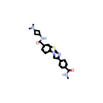 CNC(=O)c1ccc(-c2cn3c(n2)sc2cc(C(=O)NC4CC(N(C)C)C4)ccc23)cc1